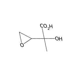 CC(O)(C(=O)O)C1CO1